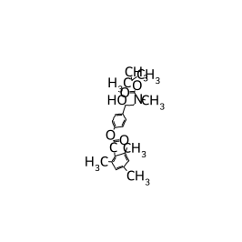 Cc1cc(C)c(CC(=O)Oc2ccc(C(O)CN(C)C(=O)OC(C)(C)C)cc2)c(C)c1